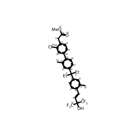 CCC(CC)(c1ccc(C=CC(O)(C(F)(F)F)C(F)(F)F)c(C)c1)c1ccc(-c2ccc(CC(=O)OC)c(Cl)c2)c(C)c1